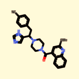 COc1cc(C(=O)N2CCN(C(Cc3ccc(C#N)cc3)c3cnc[nH]3)CC2)c2ccccc2n1